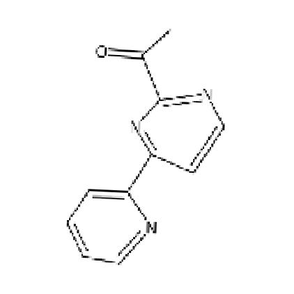 CC(=O)c1nccc(-c2ccccn2)n1